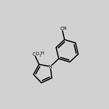 N#Cc1cccc(-n2cccc2C(=O)O)c1